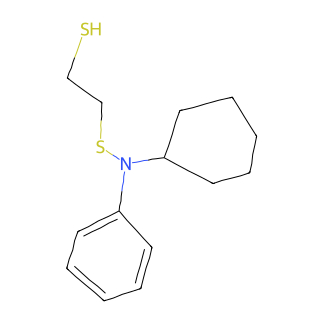 SCCSN(c1ccccc1)C1CCCCC1